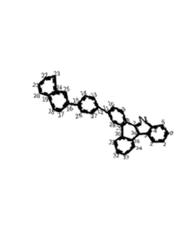 c1ccc2c(c1)N=C1c3ccc(-c4ccc(-c5ccc6ccccc6c5)cc4)cc3-c3ccccc3C12